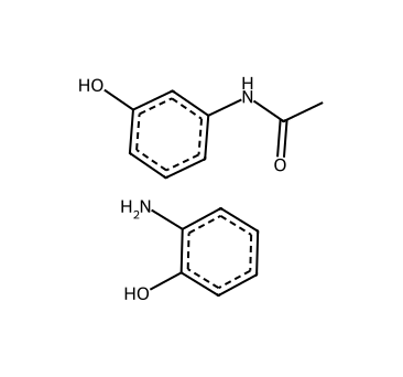 CC(=O)Nc1cccc(O)c1.Nc1ccccc1O